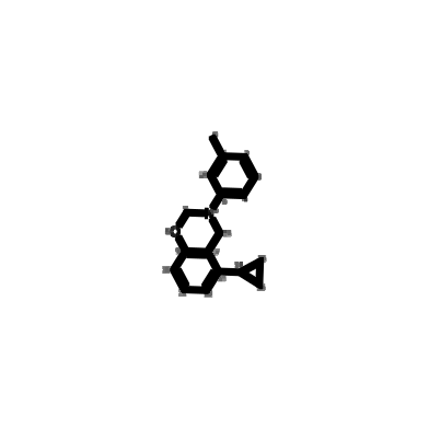 Cc1cccc(N2COc3cccc(C4CC4)c3C2)c1